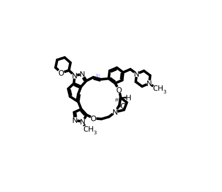 CN1CCN(Cc2ccc3c(c2)O[C@@H]2CCN(CCOc4c(cnn4C)-c4ccc5c(c4)c(nn5C4CCCCO4)/C=C/3)C2=O)CC1